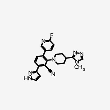 Cn1cnnc1C1CCN(c2c(-c3ccc(F)nc3)ccc(-c3cc[nH]n3)c2C#N)CC1